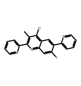 Cc1c(-c2ccccn2)nc2cc(F)c(-c3ccccn3)cc2c1Cl